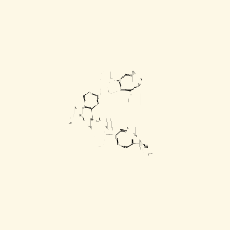 CS(C)=Nc1ccc(C(=O)NC(=N)c2cc(OCc3c(Cl)cncc3Cl)ccc2N)cn1